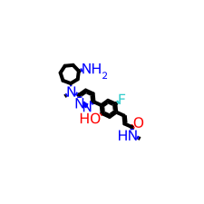 CNC(=O)/C=C/c1cc(O)c(-c2ccc(N(C)[C@H]3CCCCC(N)C3)nn2)cc1F